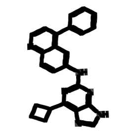 c1ccc(-c2ccnc3ccc(Nc4nc(C5CCC5)c5nc[nH]c5n4)cc23)cc1